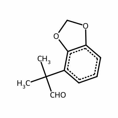 CC(C)(C=O)c1cccc2c1OCO2